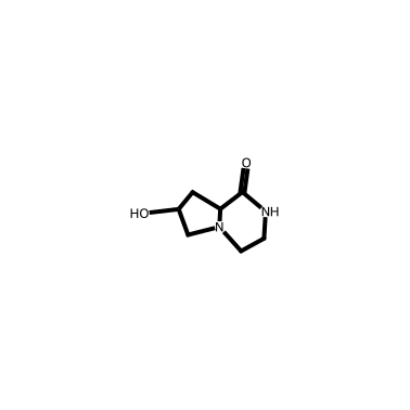 O=C1NCCN2CC(O)CC12